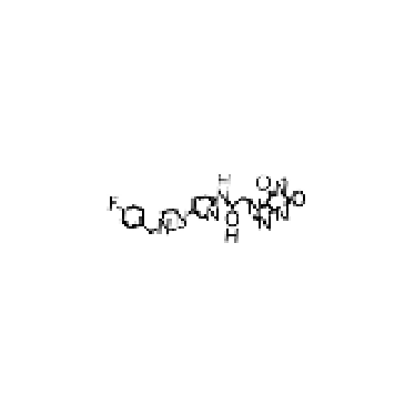 Cn1c(=O)c2c(ncn2CC(O)Nc2ccc(N3CCN(Cc4ccc(F)cc4)CC3)cn2)n(C)c1=O